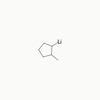 [Li][CH]1CCCC1C